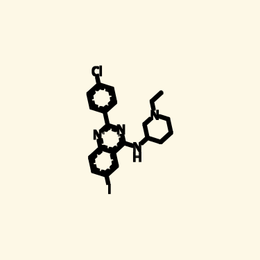 CCN1CCCC(Nc2nc(-c3ccc(Cl)cc3)nc3ccc(I)cc23)C1